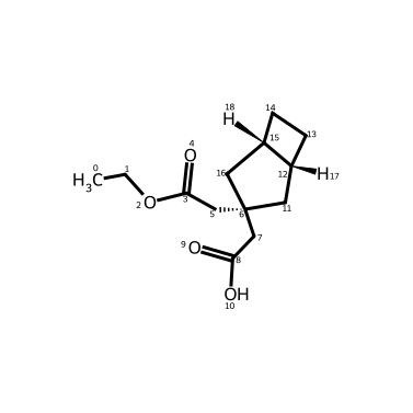 CCOC(=O)C[C@@]1(CC(=O)O)C[C@H]2CC[C@H]2C1